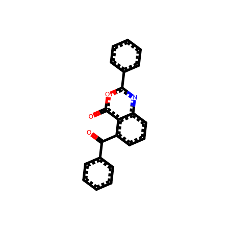 O=C(c1ccccc1)c1cccc2nc(-c3ccccc3)oc(=O)c12